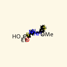 CCOc1cc(-c2cc(NCCc3cc4ccsc4cc3OC)ncn2)sc1C(=O)O